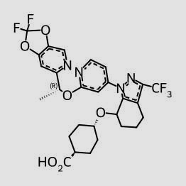 C[C@@H](Oc1cc(-n2nc(C(F)(F)F)c3c2C(O[C@H]2CC[C@H](C(=O)O)CC2)CCC3)ccn1)c1cc2c(cn1)OC(F)(F)O2